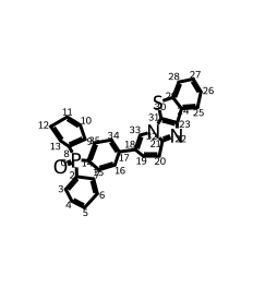 O=P(c1ccccc1)(c1ccccc1)c1ccc(-c2ccc3nc4c5ccccc5sc4n3c2)cc1